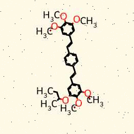 CCC(C)Oc1cc(/C=C/c2ccc(/C=C/c3cc(OC)c(OC)c(OC)c3)cc2)cc(OC)c1OC